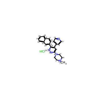 CN1CCN(c2cc(-c3ccncc3)c(-c3ccc4ccccc4c3)nn2)CC1.Cl